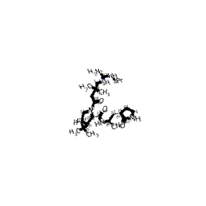 CC(C)N/C(N)=[SH]/CC(C)(C)CC(=O)N1C[C@H]2C([C@H]1C(=O)N[C@H](C#N)C[C@@H]1CCNC1=O)C2(C)C